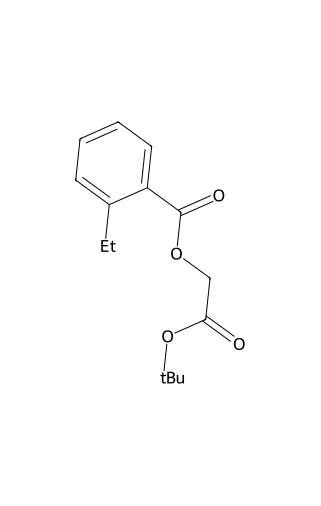 CCc1ccccc1C(=O)OCC(=O)OC(C)(C)C